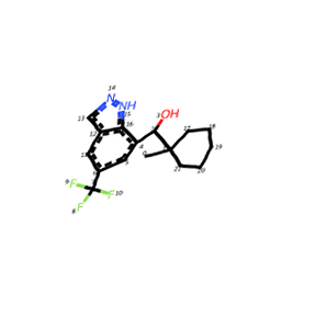 CC1(C(O)c2cc(C(F)(F)F)cc3cn[nH]c23)CCCCC1